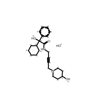 Cl.O=C(NCC#CCN1CCC(O)CC1)C(O)(c1ccccc1)C1CCCCC1